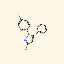 Oc1cc(-c2ccccc2)n(-c2ccc(Cl)cc2)n1